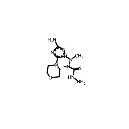 CN(NC(=S)NN)n1nc(N)nc1N1CCOCC1